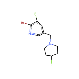 Fc1cc(CN2CCC(F)CC2)cnc1Br